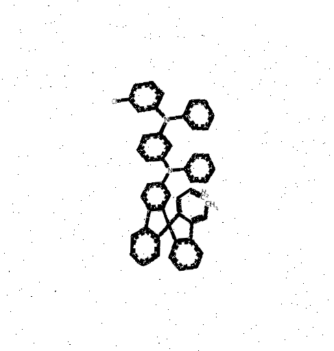 C=C/C=C1\C(=C/C)c2ccccc2C12c1ccccc1-c1ccc(N(c3ccccc3)c3cccc(N(c4ccccc4)c4cccc(Cl)c4)c3)cc12